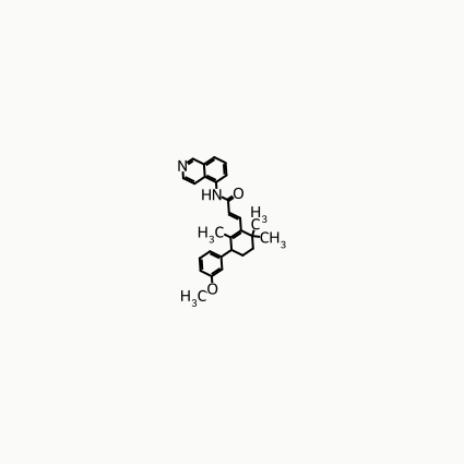 COc1cccc(C2CCC(C)(C)C(C=CC(=O)Nc3cccc4cnccc34)=C2C)c1